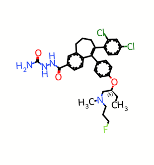 CC[C@@H](CN(C)CCCF)Oc1ccc(C2=C(c3ccc(Cl)cc3Cl)CCCc3cc(C(=O)NNC(N)=O)ccc32)cc1